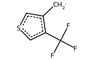 [CH2]c1cscc1C(F)(F)F